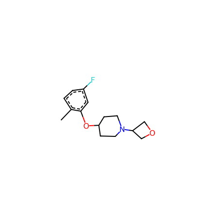 Cc1ccc(F)cc1OC1CCN(C2COC2)CC1